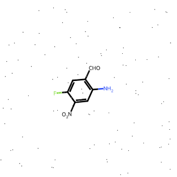 Nc1cc([N+](=O)[O-])c(F)cc1C=O